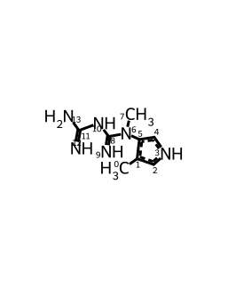 Cc1c[nH]cc1N(C)C(=N)NC(=N)N